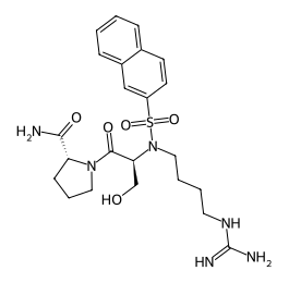 N=C(N)NCCCCN([C@@H](CO)C(=O)N1CCC[C@@H]1C(N)=O)S(=O)(=O)c1ccc2ccccc2c1